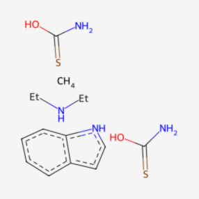 C.CCNCC.NC(O)=S.NC(O)=S.c1ccc2[nH]ccc2c1